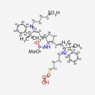 COC(=O)NC1=C(/C=C/C2=[N+](CCCCSOOO)c3ccccc3C2(C)C)CC/C1=C\C=C1\N(CCCCS(=O)(=O)O)c2ccccc2C1(C)C